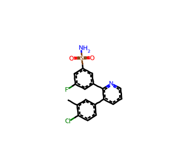 Cc1cc(-c2cccnc2-c2cc(F)cc(S(N)(=O)=O)c2)ccc1Cl